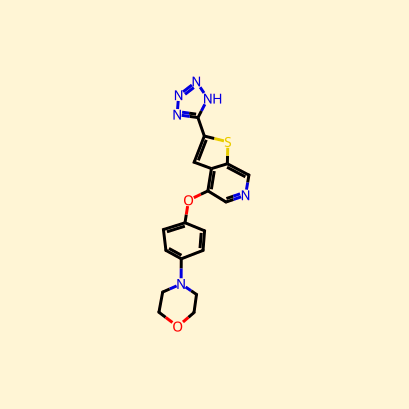 c1cc(N2CCOCC2)ccc1Oc1cncc2sc(-c3nnn[nH]3)cc12